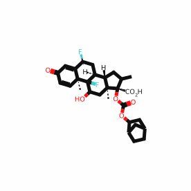 CC1C[C@H]2[C@@H]3C[C@H](F)C4=CC(=O)C=C[C@]4(C)C3(F)C(O)C[C@]2(C)[C@]1(OC(=O)OC1CC2CCC1C2)C(=O)O